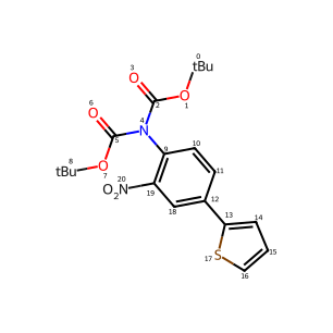 CC(C)(C)OC(=O)N(C(=O)OC(C)(C)C)c1ccc(-c2cccs2)cc1[N+](=O)[O-]